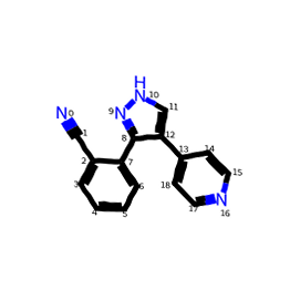 N#Cc1ccccc1-c1n[nH]cc1-c1ccncc1